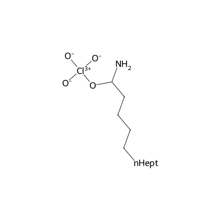 CCCCCCCCCCCC(N)O[Cl+3]([O-])([O-])[O-]